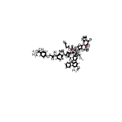 COc1ccc(C(OC[C@H]2O[C@@H](n3nnc4c(NC(=O)COc5ccc(C(C)(C)C)cc5)ccnc43)C[C@@H]2OP(=S)(OCCC#N)OC[C@H]2O[C@@H](n3ccc(=O)n4ccnc34)[C@H](O[PH](=O)O)[C@@H]2O[Si](C)(C)C(C)(C)C)(c2ccccc2)c2ccc(OC)cc2)cc1